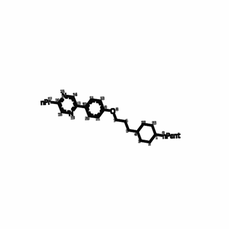 CCCCCC1CCC(CCCOc2ccc(-c3cnc(CCC)cn3)cc2)CC1